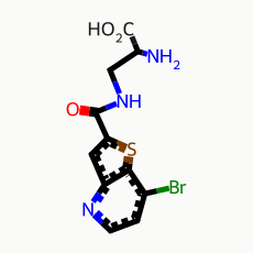 NC(CNC(=O)c1cc2nccc(Br)c2s1)C(=O)O